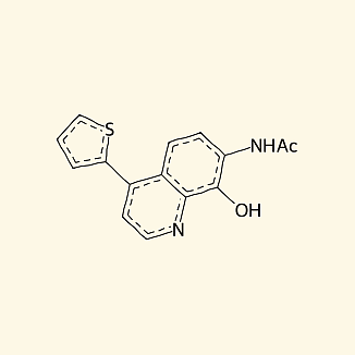 CC(=O)Nc1ccc2c(-c3cccs3)ccnc2c1O